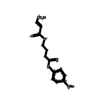 CCOC(=O)/C=C/C(=O)OCCCC(=O)Oc1ccc(OC)cc1